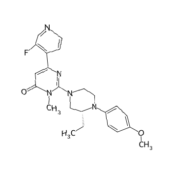 CC[C@@H]1CN(c2nc(-c3ccncc3F)cc(=O)n2C)CCN1c1ccc(OC)cc1